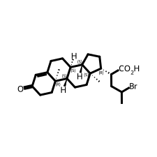 CC(Br)CC(C(=O)O)[C@H]1CC[C@H]2[C@@H]3CCC4=CC(=O)CC[C@]4(C)[C@H]3CC[C@]12C